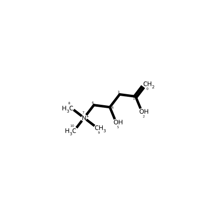 C=C(O)CC(O)C[N+](C)(C)C